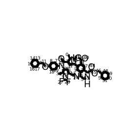 Cc1c(C(=O)N(c2ccc(OCc3ccccc3)cc2)c2cc(C#N)n(C(F)F)c2C)cc(-c2cc3c(cc2C(=O)O)C(C(=O)OCc2ccccc2)NCC3)n1C